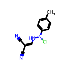 Cc1ccc(N(Cl)NC=C(C#N)C#N)cc1